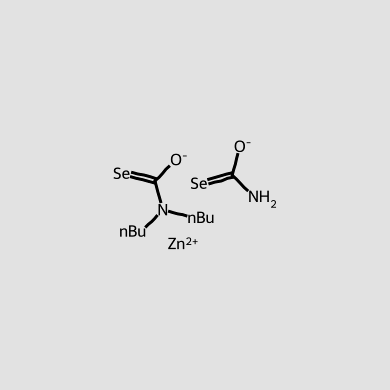 CCCCN(CCCC)C([O-])=[Se].NC([O-])=[Se].[Zn+2]